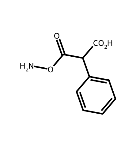 NOC(=O)C(C(=O)O)c1ccccc1